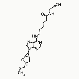 C#CCNC(=O)CCCCCNc1ncnc2c1ncn2C1C2C[C@@H](CSC)OC21